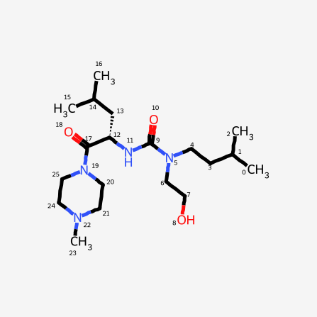 CC(C)CCN(CCO)C(=O)N[C@@H](CC(C)C)C(=O)N1CCN(C)CC1